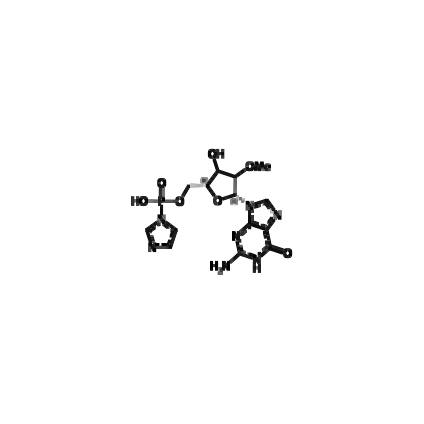 COC1C(O)[C@@H](COP(=O)(O)n2ccnc2)O[C@H]1n1cnc2c(=O)[nH]c(N)nc21